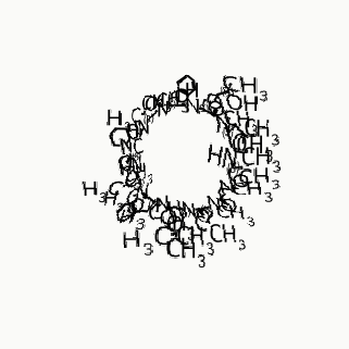 CC(C)C[C@H]1C(=O)N[C@@H](COC(C)(C)C)C(=O)N(C)[C@@H](Cc2ccccc2)C(=O)N(C)[C@@H](CC(C)C)C(=O)N[C@H](C(=O)N2CCCCC2)CC(=O)N[C@H](C(C)C)C(=O)N(C)[C@@H](Cc2ccccc2)C(=O)N[C@@H](COC[C@@H](C)O)C(=O)N(C)[C@@H](CC(C)C)C(=O)N[C@@H](C(C)C)C(=O)N(C)CC(=O)N1C